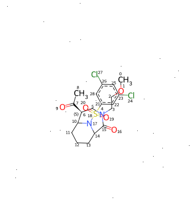 COCCN1C[C@H](C(C)=O)C2CCCC(C1=O)N2S(=O)(=O)c1cc(Cl)cc(Cl)c1